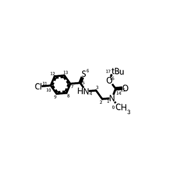 CN(CCNC(=S)c1ccc(Cl)cc1)C(=O)OC(C)(C)C